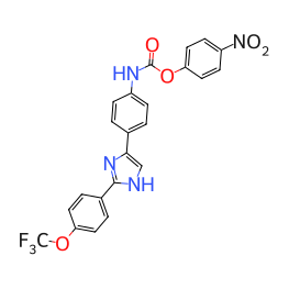 O=C(Nc1ccc(-c2c[nH]c(-c3ccc(OC(F)(F)F)cc3)n2)cc1)Oc1ccc([N+](=O)[O-])cc1